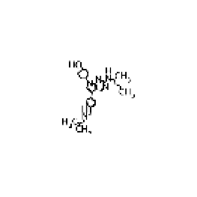 CCCC(C)Nc1ncc2c(-c3ccc(CNCC(C)C)cc3)cn([C@H]3CC[C@H](O)CC3)c2n1